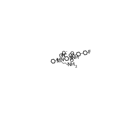 NCCCC(CSc1ccccc1)Nc1ccc(S(=O)(=O)NC(=O)c2ccc(-c3ccc(F)cc3)cc2)cc1[N+](=O)[O-]